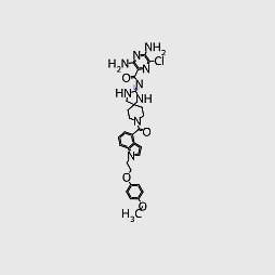 COc1ccc(OCCn2ccc3c(C(=O)N4CCC5(CC4)CN/C(=N\C(=O)c4nc(Cl)c(N)nc4N)N5)cccc32)cc1